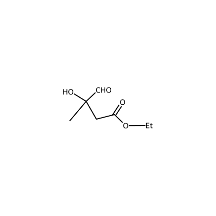 CCOC(=O)CC(C)(O)C=O